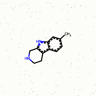 Cc1ccc2c3c([nH]c2c1)CNCC3